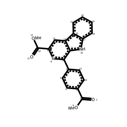 COC(=O)c1ccc(-c2nc(C(=O)OC)cc3c2[nH]c2ccccc23)cc1